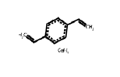 C=Cc1ccc(C=C)cc1.[GeH4]